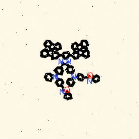 c1ccc(N(c2ccc(-c3nc4ccccc4o3)cc2)c2ccc(-c3nc4c(-c5ccc6c(c5)C5(c7ccccc7-c7ccccc75)c5ccccc5-6)ccc(-c5ccc6c(c5)C5(c7ccccc7-c7ccccc75)c5ccccc5-6)c4nc3-c3ccc(N(c4ccccc4)c4ccc(-c5nc6ccccc6o5)cc4)cc3)cc2)cc1